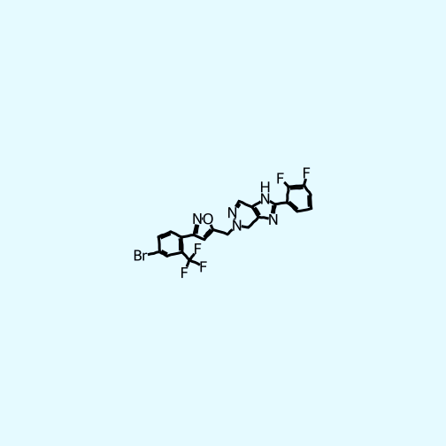 Fc1cccc(-c2nc3c([nH]2)C=NN(Cc2cc(-c4ccc(Br)cc4C(F)(F)F)no2)C3)c1F